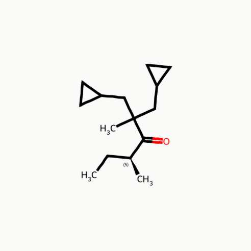 CC[C@H](C)C(=O)C(C)(CC1CC1)CC1CC1